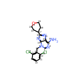 Nc1ncn(Cc2c(Cl)cccc2Cl)c2nc(C3CCOCC3)nc1-2